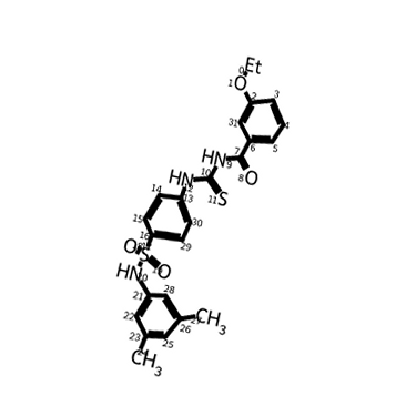 CCOc1cccc(C(=O)NC(=S)Nc2ccc(S(=O)(=O)Nc3cc(C)cc(C)c3)cc2)c1